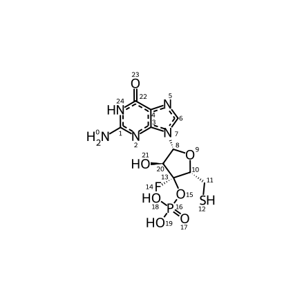 Nc1nc2c(ncn2[C@@H]2O[C@H](CS)[C@@](F)(OP(=O)(O)O)[C@H]2O)c(=O)[nH]1